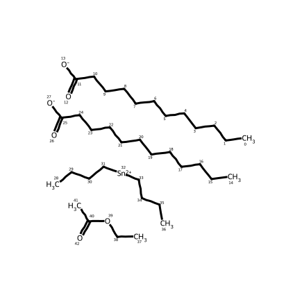 CCCCCCCCCCCC(=O)[O-].CCCCCCCCCCCC(=O)[O-].CCC[CH2][Sn+2][CH2]CCC.CCOC(C)=O